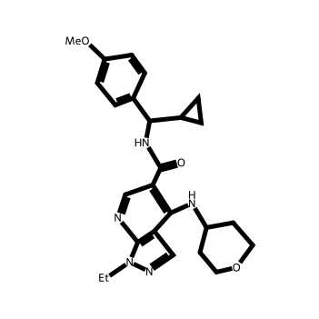 CCn1ncc2c(NC3CCOCC3)c(C(=O)NC(c3ccc(OC)cc3)C3CC3)cnc21